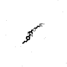 [CH2+][CH-]CCCCOCc1cnc(-c2ccc(CCCC)cc2)nc1